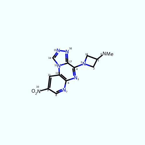 CNC1CN(c2nc3ncc([N+](=O)[O-])cc3n3cnnc23)C1